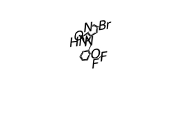 O=c1[nH]n(Cc2ccccc2OC(F)F)c2cc(Br)cnc12